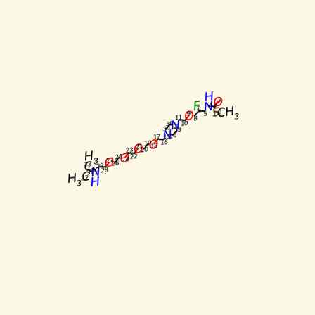 CSC(=O)NCC(F)COCCN1CCN(CCOCCOCCOCCOCCNC(C)C)CC1